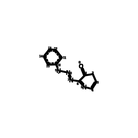 O=C1CC=CN=C1N=N[N]c1ccccc1